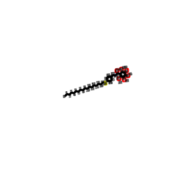 CCCCCCCCCCCCCCCCCCSc1ccc(/C=C/C(=O)c2c(OC)c(OC)c(OC)c(OC)c2OC)cc1